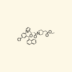 CCOC(=O)CC1CCN(C(=O)C[C@@H]2O[C@@H](c3cccc4ccccc34)c3cc(Cl)ccc3-n3cccc32)CC1